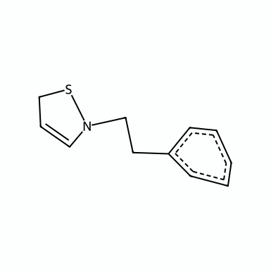 C1=CN(CCc2ccccc2)SC1